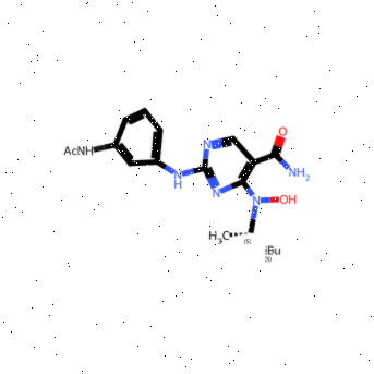 CC[C@H](C)[C@H](C)N(O)c1nc(Nc2cccc(NC(C)=O)c2)ncc1C(N)=O